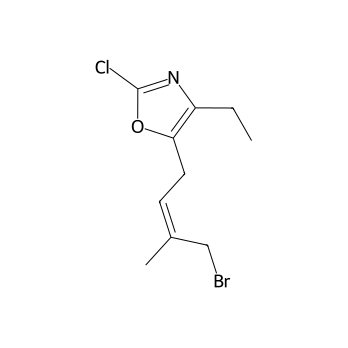 CCc1nc(Cl)oc1CC=C(C)CBr